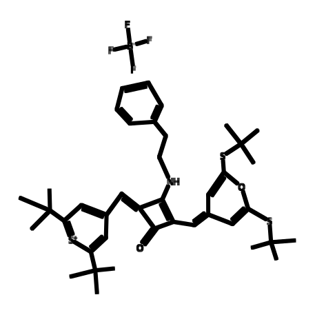 CC(C)(C)SC1=CC(=CC2=C(NCCc3ccccc3)/C(=C/c3cc(C(C)(C)C)[s+]c(C(C)(C)C)c3)C2=O)C=C(SC(C)(C)C)O1.F[B-](F)(F)F